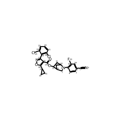 N#Cc1ccc(N2CC3CC2CC3OC(=O)c2c(-c3c(Cl)cccc3Cl)noc2C2CC2)c(F)c1